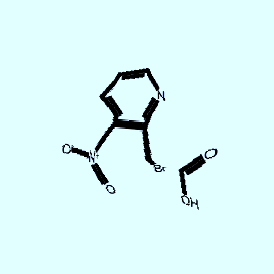 O=CO.O=[N+]([O-])c1cccnc1Br